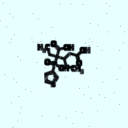 CCC(CC(=O)O)C(CC)(C(=O)O)P(=O)(O)c1ccsc1